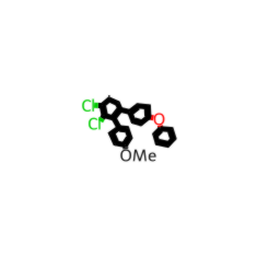 COc1ccc(C2=C(c3ccc(Oc4ccccc4)cc3)C[CH]C(Cl)=C2Cl)cc1